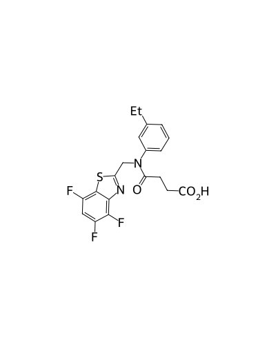 CCc1cccc(N(Cc2nc3c(F)c(F)cc(F)c3s2)C(=O)CCC(=O)O)c1